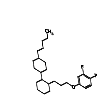 CCCCCC1CCC(C2CCCCC2CCCOc2ccc(F)c(F)c2)CC1